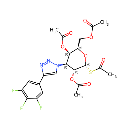 CC(=O)OC[C@H]1O[C@H](SC(C)=O)[C@H](OC(C)=O)[C@@H](n2cc(-c3cc(F)c(F)c(F)c3)nn2)[C@H]1OC(C)=O